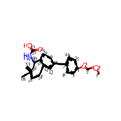 COCOc1ccc(-c2ccc3c(c2)CCC(C)(C)C3NC(=O)O)cc1